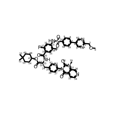 COCc1ncc(-c2ccc(S(=O)(=O)Nc3cc(F)c(C(=O)N[C@@H](Cc4ccc(-n5c(=O)c6ccncc6n(C)c5=O)nc4)C(=O)OC4CCC(C)(C)CC4)cc3F)cc2)cn1